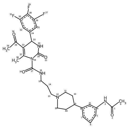 CC(=O)Nc1cccc(C2CCN(CCCNC(=O)N3C(=O)NC(c4cc(F)c(F)c(F)c4)C(C(C)=O)=C3C)CC2)c1